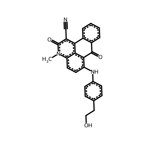 Cn1c(=O)c(C#N)c2c3c(c(Nc4ccc(CCO)cc4)ccc31)C(=O)c1ccccc1-2